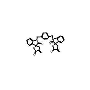 C=C1CC2(OC1=O)C(=O)N(Cc1ccc(CN3C(=O)C4(CC(=C)C(=O)O4)c4ccccc43)cc1)c1ccccc12